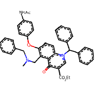 CCOC(=O)c1cn(C(c2ccccc2)c2ccccc2)c2ccc(Oc3ccc(NC(C)=O)cc3)c(CN(C)Cc3ccccc3)c2c1=O